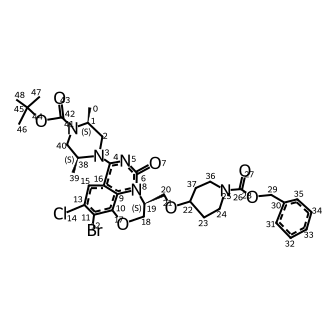 C[C@H]1CN(c2nc(=O)n3c4c(c(Br)c(Cl)cc24)OC[C@@H]3COC2CCN(C(=O)OCc3ccccc3)CC2)[C@@H](C)CN1C(=O)OC(C)(C)C